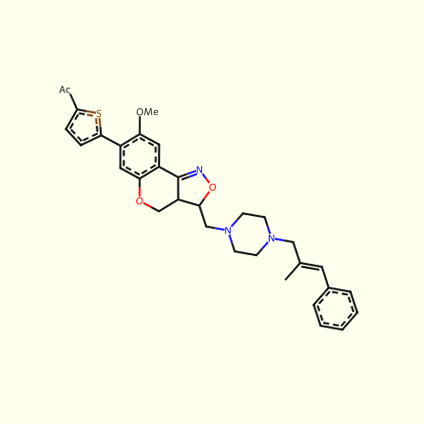 COc1cc2c(cc1-c1ccc(C(C)=O)s1)OCC1C2=NOC1CN1CCN(C/C(C)=C/c2ccccc2)CC1